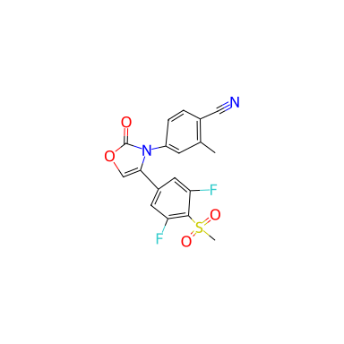 Cc1cc(-n2c(-c3cc(F)c(S(C)(=O)=O)c(F)c3)coc2=O)ccc1C#N